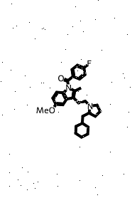 COc1ccc2c(c1)c(CCN1CCCC1CC1CCCCC1)c(C)n2C(=O)c1ccc(F)cc1